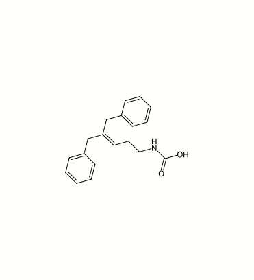 O=C(O)NCCC=C(Cc1ccccc1)Cc1ccccc1